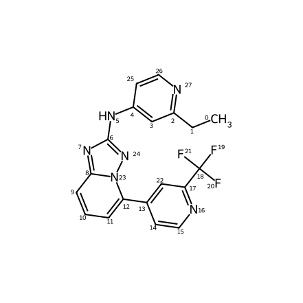 CCc1cc(Nc2nc3cccc(-c4ccnc(C(F)(F)F)c4)n3n2)ccn1